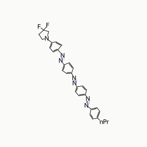 CCCc1ccc(/N=N/c2ccc(/N=N/c3ccc(/N=N/c4ccc(N5CCC(F)(F)C5)cc4)cc3)cc2)cc1